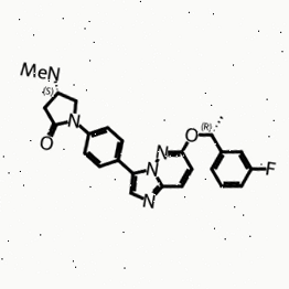 CN[C@H]1CC(=O)N(c2ccc(-c3cnc4ccc(O[C@H](C)c5cccc(F)c5)nn34)cc2)C1